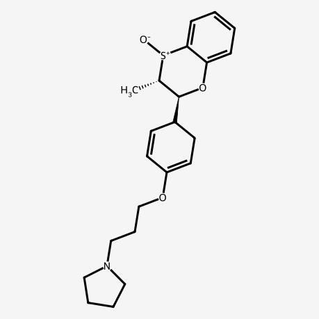 C[C@H]1[C@H](C2C=CC(OCCCN3CCCC3)=CC2)Oc2ccccc2[S+]1[O-]